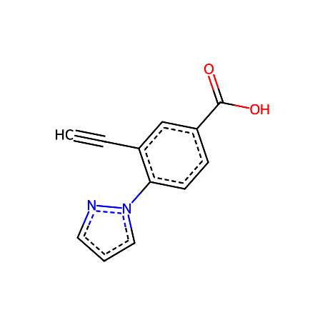 C#Cc1cc(C(=O)O)ccc1-n1cccn1